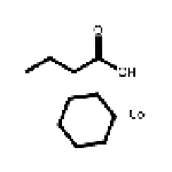 C1CCCCC1.CCCC(=O)O.[Co]